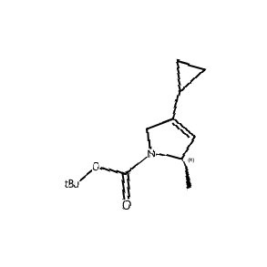 C[C@@H]1C=C(C2CC2)CN1C(=O)OC(C)(C)C